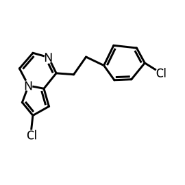 Clc1ccc(CCc2nccn3cc(Cl)cc23)cc1